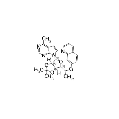 Cc1ncnc2c1ccn2[C@@H]1O[C@H](C(C)Oc2ccc3cccnc3c2)[C@H]2OC(C)(C)O[C@H]21